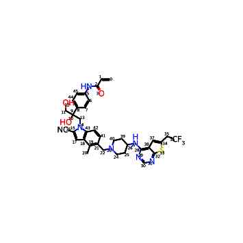 C=CC(=O)Nc1ccc(C(O)(CO)Cn2c(C#N)cc3c(C)c(CN4CCC(Nc5ncnc6sc(CC(F)(F)F)cc56)CC4)ccc32)cc1